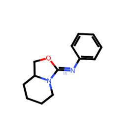 c1ccc(/N=C2\OCC3CCCCN23)cc1